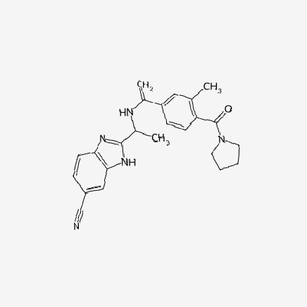 C=C(NC(C)c1nc2ccc(C#N)cc2[nH]1)c1ccc(C(=O)N2CCCC2)c(C)c1